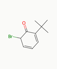 CC(C)(C)C1=CC=CC(Br)C1=O